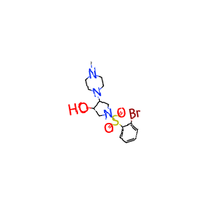 CN1CCN(C2CN(S(=O)(=O)c3ccccc3Br)CC2O)CC1